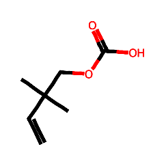 C=CC(C)(C)COC(=O)O